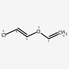 C=COC=CCl